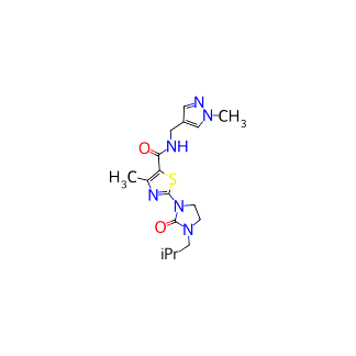 Cc1nc(N2CCN(CC(C)C)C2=O)sc1C(=O)NCc1cnn(C)c1